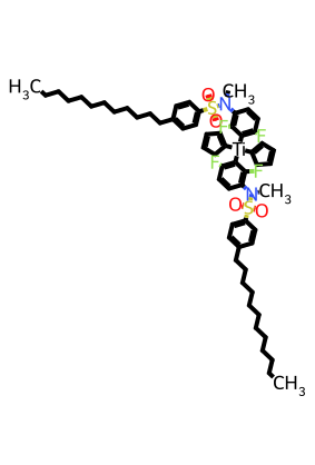 CCCCCCCCCCCCc1ccc(S(=O)(=O)N(C)c2ccc(F)[c]([Ti]([C]3=CC=CC3)([C]3=CC=CC3)[c]3c(F)ccc(N(C)S(=O)(=O)c4ccc(CCCCCCCCCCCC)cc4)c3F)c2F)cc1